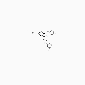 COc1cc(NC(=O)C(=O)c2c(C)n(Cc3ccc(Cl)cc3)c3ccc(COC(C)=O)cc23)ccn1